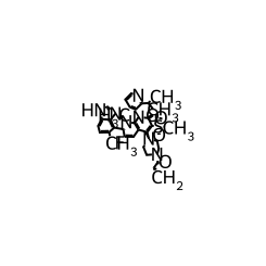 C=CC(=O)N1CCN(c2c(S(C)(=O)=O)c(=O)n(-c3c(C)ccnc3C(C)C)c3nc(-c4c(C)ccc5[nH]cnc45)c(F)cc23)CC1